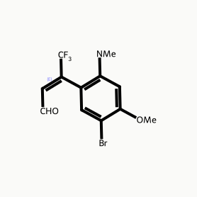 CNc1cc(OC)c(Br)cc1/C(=C\C=O)C(F)(F)F